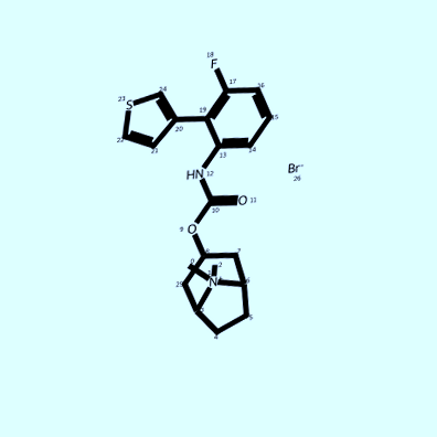 C[N+]1(C)C2CCC1CC(OC(=O)Nc1cccc(F)c1-c1ccsc1)C2.[Br-]